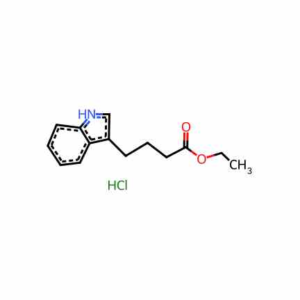 CCOC(=O)CCCc1c[nH]c2ccccc12.Cl